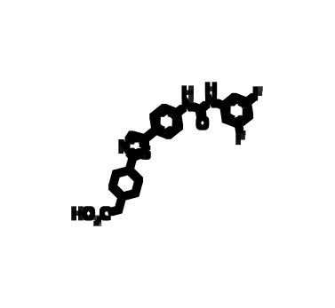 O=C(O)CC1CCC(c2ncc(-c3ccc(NC(=O)Nc4cc(F)cc(F)c4)cc3)s2)CC1